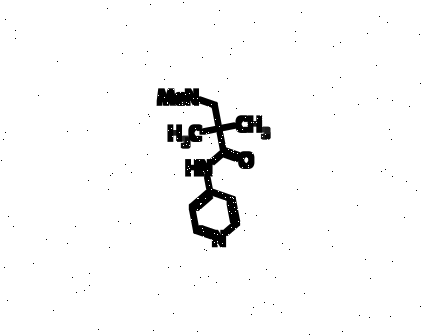 CNCC(C)(C)C(=O)Nc1ccncc1